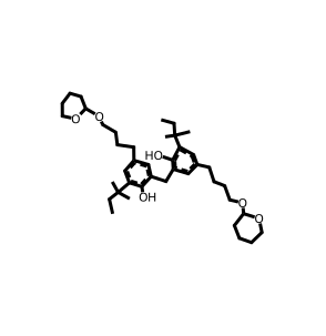 CCC(C)(C)c1cc(CCCCOC2CCCCO2)cc(Cc2cc(CCCCOC3CCCCO3)cc(C(C)(C)CC)c2O)c1O